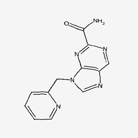 NC(=O)c1ncc2ncn(Cc3ccccn3)c2n1